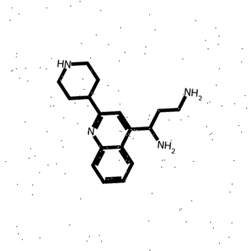 NCCC(N)c1cc(C2CCNCC2)nc2ccccc12